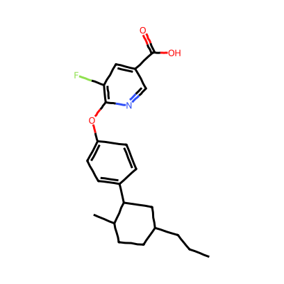 CCCC1CCC(C)C(c2ccc(Oc3ncc(C(=O)O)cc3F)cc2)C1